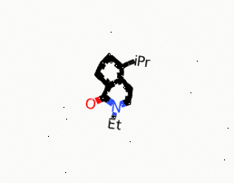 CCn1ccc2c(C(C)C)cccc2c1=O